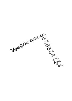 [Hf+4].[Hf+4].[O-2].[O-2].[O-2].[O-2].[O-2].[O-2].[O-2].[O-2].[O-2].[O-2].[O-2].[O-2].[O-2].[Ta+5].[Ta+5].[Zr+4].[Zr+4]